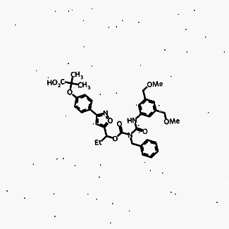 CCC(OC(=O)N(Cc1ccccc1)C(=O)Nc1cc(COC)cc(COC)c1)c1cc(-c2ccc(OC(C)(C)C(=O)O)cc2)no1